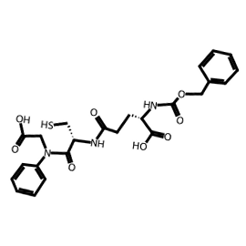 O=C(O)CN(C(=O)[C@H](CS)NC(=O)CC[C@H](NC(=O)OCc1ccccc1)C(=O)O)c1ccccc1